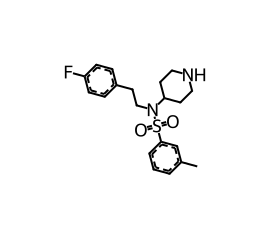 Cc1cccc(S(=O)(=O)N(CCc2ccc(F)cc2)C2CCNCC2)c1